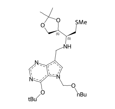 CCCCOCn1cc(CN[C@H](CSC)[C@H]2COC(C)(C)O2)c2ncnc(OC(C)(C)C)c21